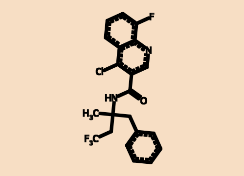 CC(Cc1ccccc1)(CC(F)(F)F)NC(=O)c1cnc2c(F)cccc2c1Cl